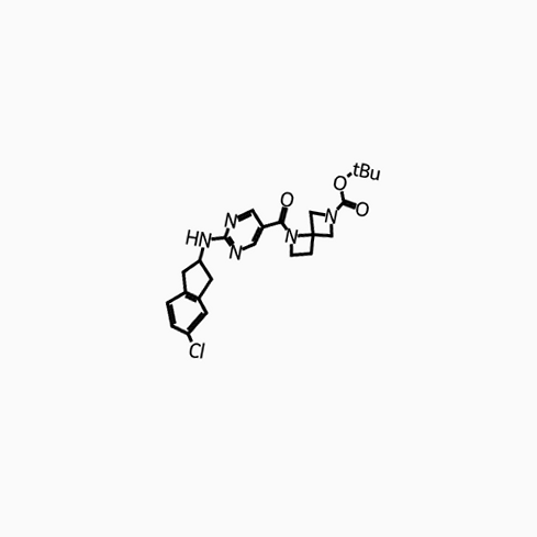 CC(C)(C)OC(=O)N1CC2(CCN2C(=O)c2cnc(NC3Cc4ccc(Cl)cc4C3)nc2)C1